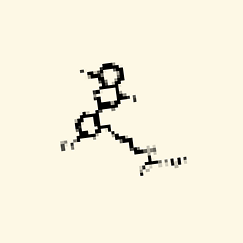 CCOC(=O)C(=O)NCCCOc1cc(C(F)(F)F)ccc1-c1cc(=O)c2cccc(Cl)c2o1